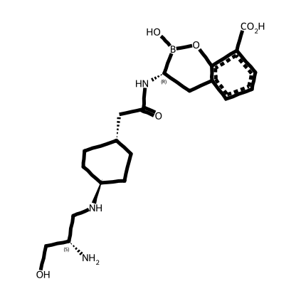 N[C@H](CO)CN[C@H]1CC[C@H](CC(=O)N[C@H]2Cc3cccc(C(=O)O)c3OB2O)CC1